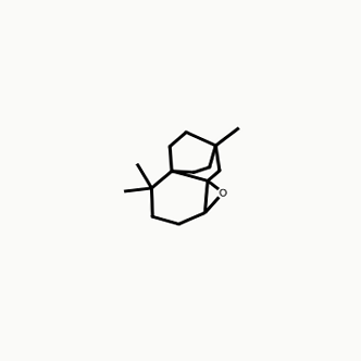 CC12CCC3(CC1)C(C)(C)CCC1OC13C2